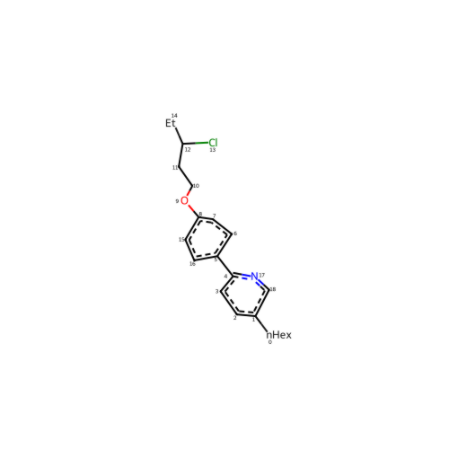 CCCCCCc1ccc(-c2ccc(OCCC(Cl)CC)cc2)nc1